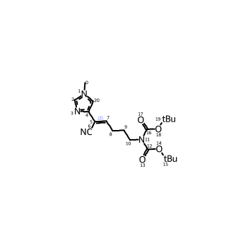 Cn1cnc(/C(C#N)=C/CCCN(C(=O)OC(C)(C)C)C(=O)OC(C)(C)C)c1